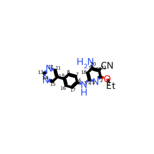 CCOc1nc(Nc2ccc(-c3cncnc3)cc2)cc(N)c1C#N